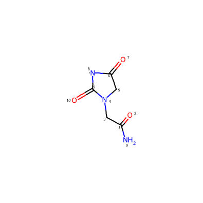 NC(=O)CN1CC(=O)[N]C1=O